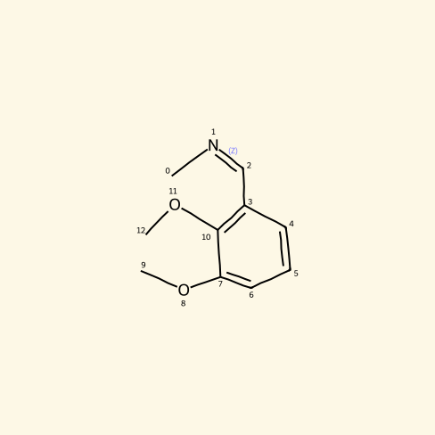 C/N=C\c1cccc(OC)c1OC